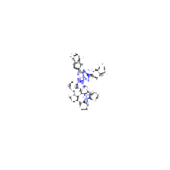 c1ccc2c(c1)-c1ccccc1-n1c3ccccc3c3cc4c(c-2c31)c1ccccc1n4-c1nc(-c2ccc3ccccc3c2)nc(-c2ccc3ccccc3c2)n1